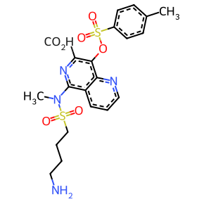 Cc1ccc(S(=O)(=O)Oc2c(C(=O)O)nc(N(C)S(=O)(=O)CCCCN)c3cccnc23)cc1